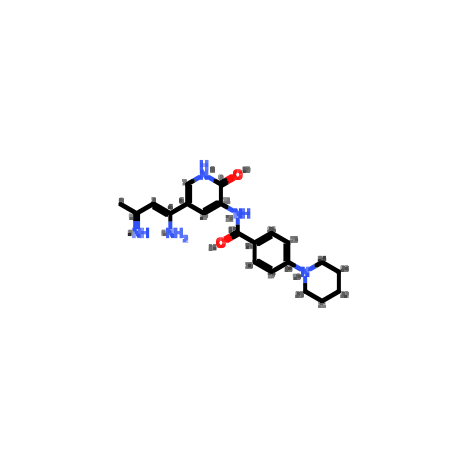 CC(=N)/C=C(\N)c1c[nH]c(=O)c(NC(=O)c2ccc(N3CCCCC3)cc2)c1